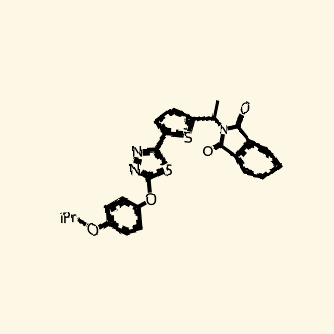 CC(C)Oc1ccc(Oc2nnc(-c3ccc(C(C)N4C(=O)c5ccccc5C4=O)s3)s2)cc1